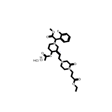 CCOC(=O)CCN1CCN(C/C=C2/CN(C(C(=O)OC)c3ccccc3F)CCC2SC(C)=O)CC1=O.Cl.Cl